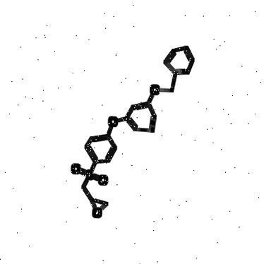 O=S(=O)(CC1CO1)c1ccc(Oc2cccc(OCc3ccccc3)c2)cc1